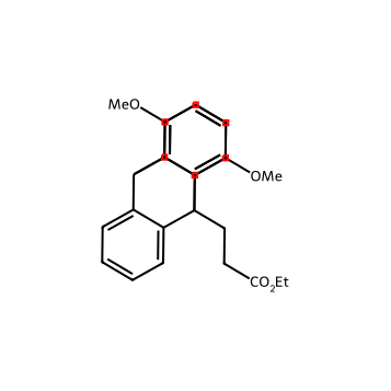 CCOC(=O)CCC12c3ccccc3C(c3ccccc31)c1c(OC)ccc(OC)c12